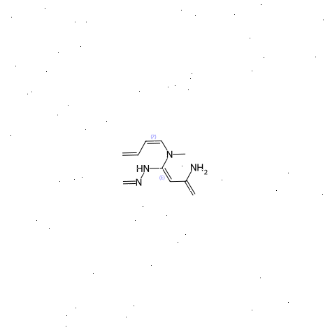 C=C/C=C\N(C)/C(=C\C(=C)N)NN=C